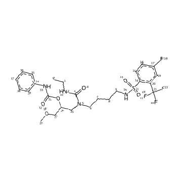 CCNC(=O)N(CCCCNS(=O)(=O)c1ccc(F)cc1C(F)(F)F)CC(COC)OC(=O)Nc1ccccc1